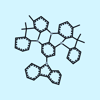 Cc1ccc2c3c1C(C)(C)c1ccccc1B3c1cc(-n3c4ccccc4c4ccccc43)cc3c1N2c1ccc(C)c2c1B3c1ccccc1C2(C)C